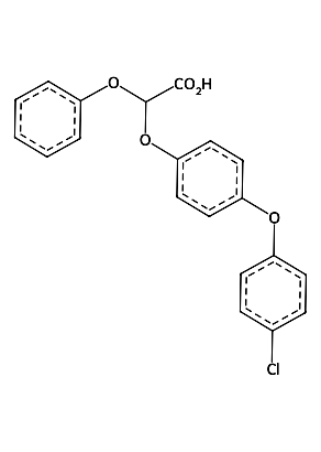 O=C(O)C(Oc1ccccc1)Oc1ccc(Oc2ccc(Cl)cc2)cc1